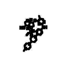 C=CC(=O)Nc1cc(Nc2ncc(C)c(O[C@@H]3CO[C@H]4[C@@H]3OC[C@H]4O)n2)ccc1N1CCC(N2CCN(C)CC2)CC1